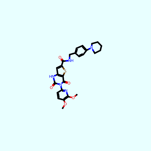 COc1ccc(-n2c(=O)[nH]c3cc(C(=O)NCc4ccc(N5CCCCC5)cc4)sc3c2=O)nc1OC